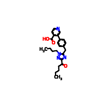 CCCCC(=O)c1nc(Cc2ccc(-c3cnccc3C(=O)O)cc2)n(CCCC)n1